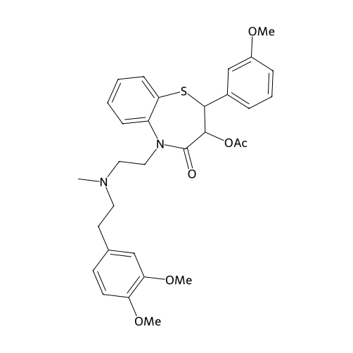 COc1cccc(C2Sc3ccccc3N(CCN(C)CCc3ccc(OC)c(OC)c3)C(=O)C2OC(C)=O)c1